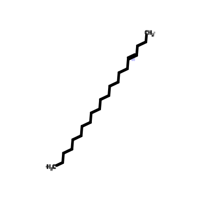 [CH2]CC/C=C/CCCCCCCCCCCCCCC[CH2]